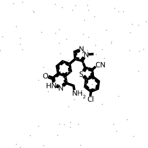 Cn1ncc(-c2ccc3c(=O)[nH]nc(CN)c3c2)c1-c1sc2cc(Cl)ccc2c1C#N